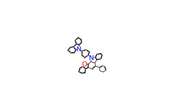 C1=CCCC(C2=Cc3c(oc4ccccc34)C3C2c2ccccc2N3c2ccc(-n3c4ccccc4c4ccccc43)cc2)=C1